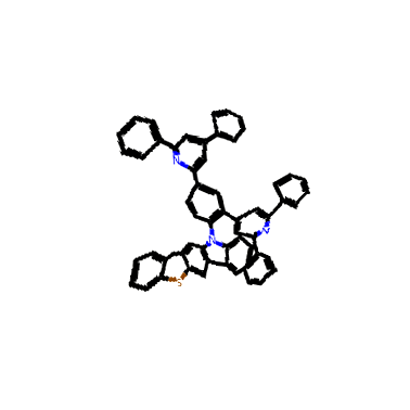 c1ccc(-c2cc(-c3ccccc3)nc(-c3ccc(-n4c5ccccc5c5cc6sc7ccccc7c6cc54)c(-c4cc(-c5ccccc5)nc(-c5ccccc5)c4)c3)c2)cc1